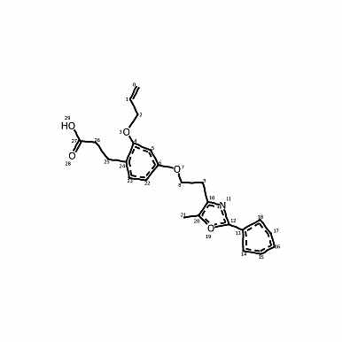 C=CCOc1cc(OCCc2nc(-c3ccccc3)oc2C)ccc1CCC(=O)O